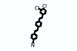 N#Cc1ccc(C=Cc2ccc(C=Cc3ccc(Cl)c(Cl)c3)cc2)cc1